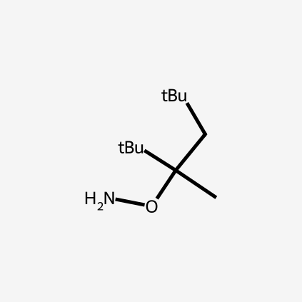 CC(C)(C)CC(C)(ON)C(C)(C)C